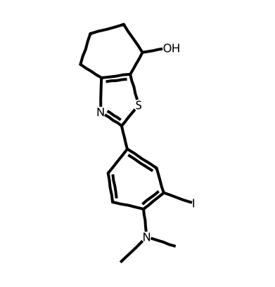 CN(C)c1ccc(-c2nc3c(s2)C(O)CCC3)cc1I